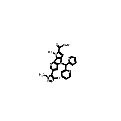 COC(=O)c1cc2c(c3ncc(-c4c(C)nnn4C)cc3n2C(c2ccccn2)c2ccccn2)n1C